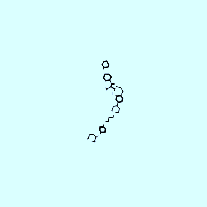 NC(=O)c1c(-c2ccc(Oc3ccccc3)cc2)nn2c1Nc1cc(C3CCN(CCCOc4ccc(NC5CCC(=O)NC5=O)cc4)CC3)ccc1CC2